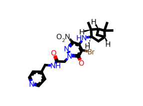 C[C@@H]1[C@H]2C[C@@H](C[C@H]1Nc1c([N+](=O)[O-])nn(CC(=O)NCc3ccncc3)c(=O)c1Br)C2(C)C